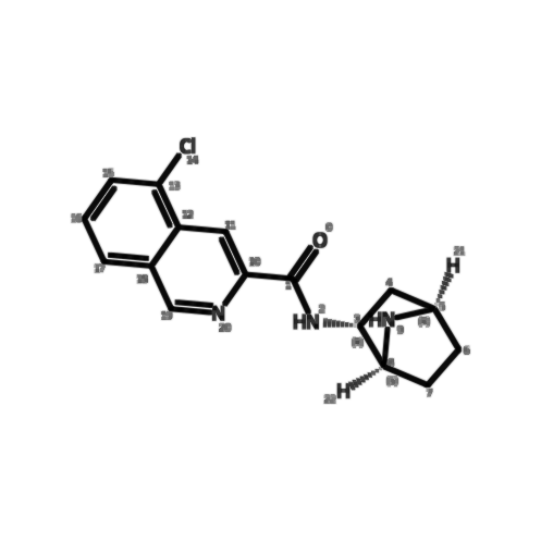 O=C(N[C@@H]1C[C@H]2CC[C@@H]1N2)c1cc2c(Cl)cccc2cn1